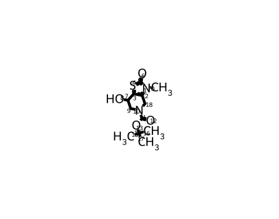 Cn1c2c(sc1=O)C(O)CN(C(=O)OC(C)(C)C)C2